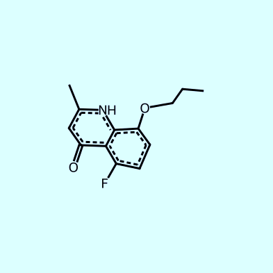 CCCOc1ccc(F)c2c(=O)cc(C)[nH]c12